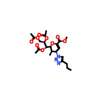 CCCc1cn([C@H]2C=C(C(=O)OC)O[C@@H]([C@H](OC(C)=O)[C@@H](COC(C)=O)OC(C)=O)[C@@H]2C)nn1